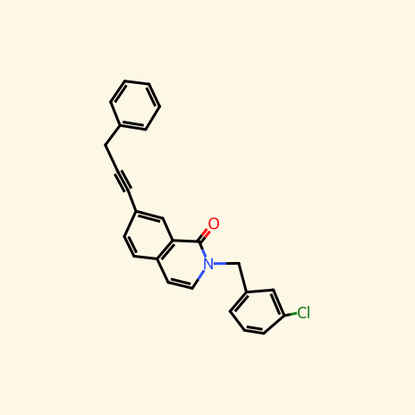 O=c1c2cc(C#CCc3ccccc3)ccc2ccn1Cc1cccc(Cl)c1